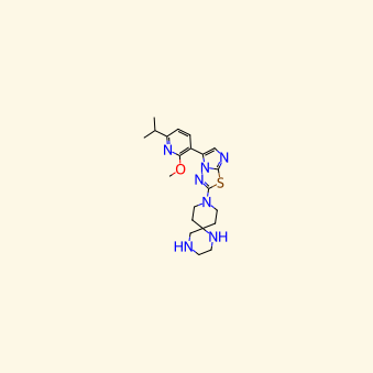 COc1nc(C(C)C)ccc1-c1cnc2sc(N3CCC4(CC3)CNCCN4)nn12